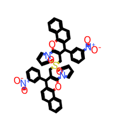 O=[N+]([O-])c1cccc(C2C(CS(=O)(=O)CC3=C(n4cccc4)Oc4c(ccc5ccccc45)C3c3cccc([N+](=O)[O-])c3)=C(n3cccc3)Oc3c2ccc2ccccc32)c1